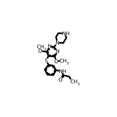 CCC(=O)Nc1cccc(Sc2c(OC)nc(N3CCNCC3)nc2OC)c1